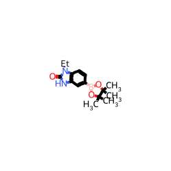 CCn1c(=O)[nH]c2cc(B3OC(C)(C)C(C)(C)O3)ccc21